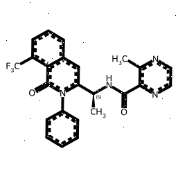 Cc1nccnc1C(=O)N[C@@H](C)c1cc2cccc(C(F)(F)F)c2c(=O)n1-c1ccccc1